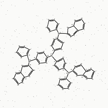 C1=CC2=CC=C(N(c3ccccc3)c3ccc(N(c4ccc(N(c5ccccc5)c5ccc6ccccc6c5)cc4)c4ccc(N(c5ccccc5)c5ccc6ccccc6c5)cc4)cc3)CC2C=C1